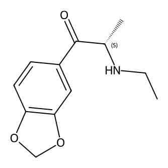 CCN[C@@H](C)C(=O)c1ccc2c(c1)OCO2